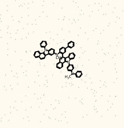 CN(c1ccccc1)c1ccc(-n2c3ccccc3c3c(-c4cc(-c5ccccc5)ccc4N(C)c4ccc5c(c4)c4ccc6ccccc6c4n5-c4ccccc4)cc4ccccc4c32)cc1